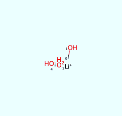 CO.O.[Li+].[OH-]